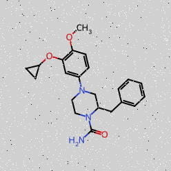 COc1ccc(N2CCN(C(N)=O)C(Cc3ccccc3)C2)cc1OC1CC1